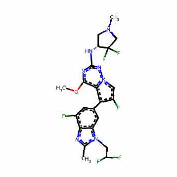 COc1nc(N[C@@H]2CN(C)CC2(F)F)nn2cc(F)c(-c3cc(F)c4nc(C)n(CC(F)F)c4c3)c12